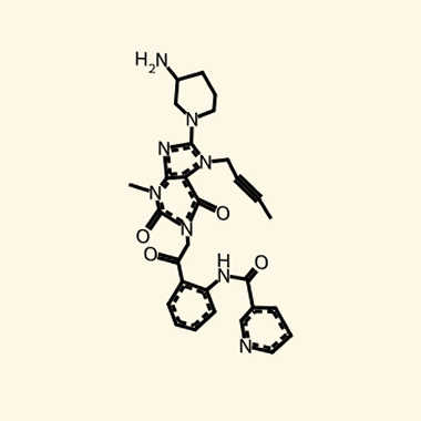 CC#CCn1c(N2CCCC(N)C2)nc2c1c(=O)n(CC(=O)c1ccccc1NC(=O)c1cccnc1)c(=O)n2C